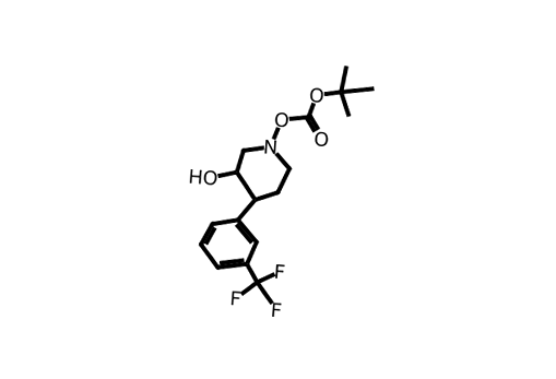 CC(C)(C)OC(=O)ON1CCC(c2cccc(C(F)(F)F)c2)C(O)C1